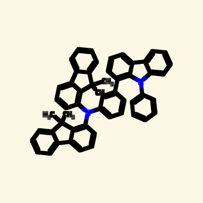 CC1(C)c2ccccc2-c2cccc(N(c3cccc(-c4cccc5c6ccccc6n(-c6ccccc6)c45)c3)c3cccc4c3C(C)(C)c3ccccc3-4)c21